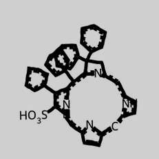 O=S(=O)(O)c1c(-c2ccccc2)c2[nH]c1cc1nc(cc3ccc(cc4nc(c2-c2ccccc2)C(c2ccccc2)(c2ccccc2)C4)[nH]3)C=C1